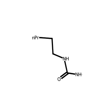 CCCCCNC([NH])=O